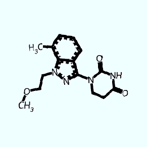 COCCn1nc(N2CCC(=O)NC2=O)c2cccc(C)c21